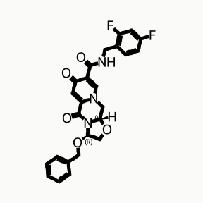 O=C(NCc1ccc(F)cc1F)c1cn2c(cc1=O)C(=O)N1[C@H](C2)OC[C@H]1OCc1ccccc1